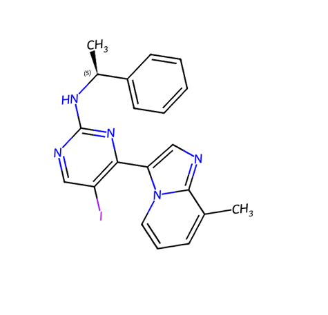 Cc1cccn2c(-c3nc(N[C@@H](C)c4ccccc4)ncc3I)cnc12